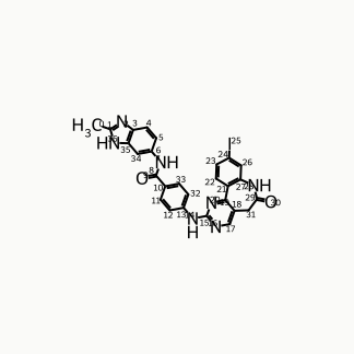 Cc1nc2ccc(NC(=O)c3ccc(Nc4ncc5c(n4)-c4ccc(I)cc4NC(=O)C5)cc3)cc2[nH]1